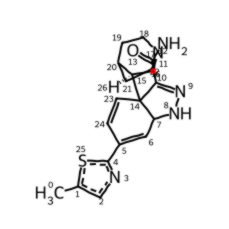 Cc1cnc(C2=CC3NN=C(C(N)=O)C3([C@@H]3CN4CCC3CC4)C=C2)s1